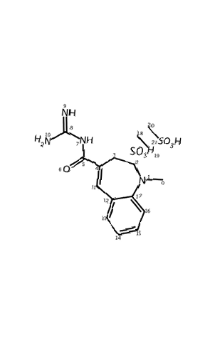 CN1CCC(C(=O)NC(=N)N)=Cc2ccccc21.CS(=O)(=O)O.CS(=O)(=O)O